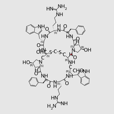 N=C(N)NCCC[C@@H]1NC(=O)[C@@H](Cc2ccccc2)NC(=O)[C@@H]2C[C@@H](O)CN2C[C@]2(C=O)NC(=O)[C@H](Cc3c[nH]c4ccccc34)NC(=O)[C@H](CCCNC(=N)N)NC(=O)[C@@H](Cc3ccccc3)NC(=O)[C@@H]3C[C@@H](O)CN3C(=O)[C@H](CSCS2)NC[C@@](C=O)(Cc2c[nH]c3ccccc23)NC1=O